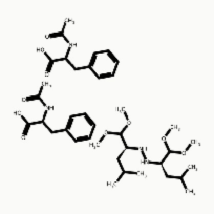 CC(=O)NC(Cc1ccccc1)C(=O)O.CC(=O)NC(Cc1ccccc1)C(=O)O.COC(OC)[C@H](CC(C)C)NN[C@H](CC(C)C)C(OC)OC